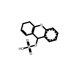 O=S(=O)(O)OC1C2=C(CCC=C2)Oc2ccccc21